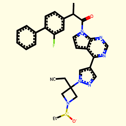 CC[S+]([O-])N1CC(CC#N)(n2cc(-c3ncnc4c3ccn4C(=O)C(C)c3ccc(-c4ccccc4)c(F)c3)cn2)C1